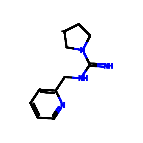 N=C(NCc1ccccn1)N1C[CH]CC1